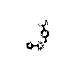 COC(=O)c1ccc(Cn2nnc(-c3cccs3)n2)nc1